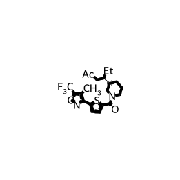 CCC(CC(C)=O)[C@@H]1CCCN(C(=O)c2ccc(-c3noc(C(F)(F)F)c3C)s2)C1